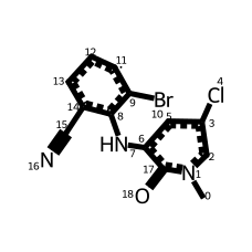 Cn1cc(Cl)cc(Nc2c(Br)[c]ccc2C#N)c1=O